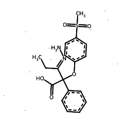 CCC(=NN)C(Oc1ccc(S(C)(=O)=O)cc1)(C(=O)O)c1ccccc1